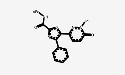 CCCNC(=O)c1nc(-c2ccccc2)c(-c2ccc(=O)n(C(C)C)n2)s1